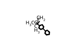 C=C=CC(C)(OC)c1ccc(-c2ccccc2)cc1